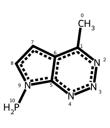 Cc1nnnc2c1ccn2P